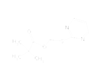 CC(C)(C)C(=O)OCSc1ncccn1